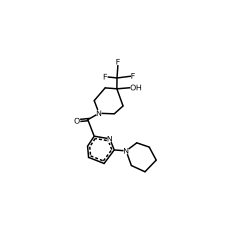 O=C(c1cccc(N2CCCCC2)n1)N1CCC(O)(C(F)(F)F)CC1